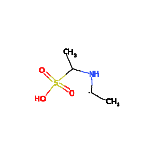 C[CH]NC(C)S(=O)(=O)O